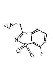 NCC1=NS(=O)(=O)c2c(F)cccc21